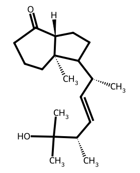 C[C@H](/C=C/[C@H](C)C(C)(C)O)C1CC[C@H]2C(=O)CCC[C@]12C